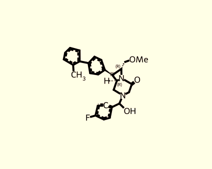 COC[C@H]1[C@H](c2ccc(-c3ccccc3C)cc2)[C@@H]2CN(C(O)c3ccc(F)cc3)CC(=O)N12